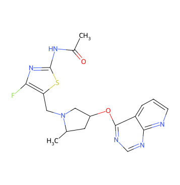 CC(=O)Nc1nc(F)c(CN2CC(Oc3ncnc4ncccc34)CC2C)s1